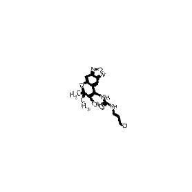 CC1(C)Oc2cc3nonc3cc2C(NC(=O)NCCCCl)C1O